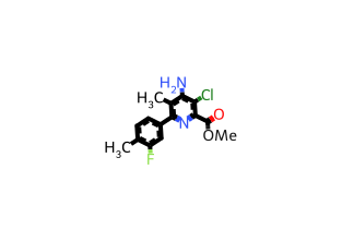 COC(=O)c1nc(-c2ccc(C)c(F)c2)c(C)c(N)c1Cl